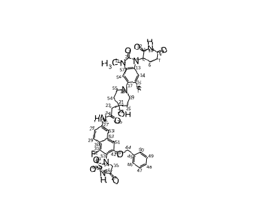 Cn1c(=O)n(C2CCC(=O)NC2=O)c2cc(F)c(N3CCC(O)(CC(=O)Nc4ccc5c(F)c(N6CC(=O)NS6(=O)=O)c(OCc6ccccc6)cc5c4)CC3)cc21